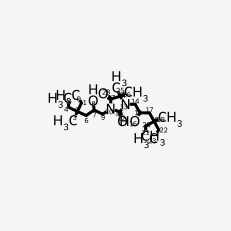 CCC(C)(CC)CC(O)CN1C(=O)N(CC(O)CC(C)(CC)CC)C(C)(C)C1=O